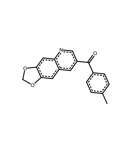 Cc1ccc(C(=O)c2cnc3cc4c(cc3c2)OCO4)cc1